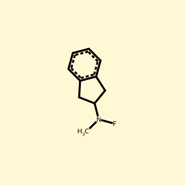 CN(F)C1Cc2ccccc2C1